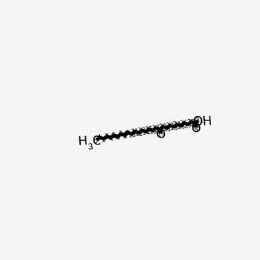 CCCCCC=CCC=CCCCCCCCCC(=O)CCCCCCCCCC(=O)O